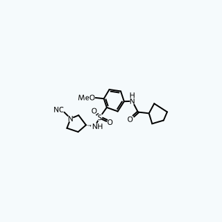 COc1ccc(NC(=O)C2CCCC2)cc1S(=O)(=O)N[C@@H]1CCN(C#N)C1